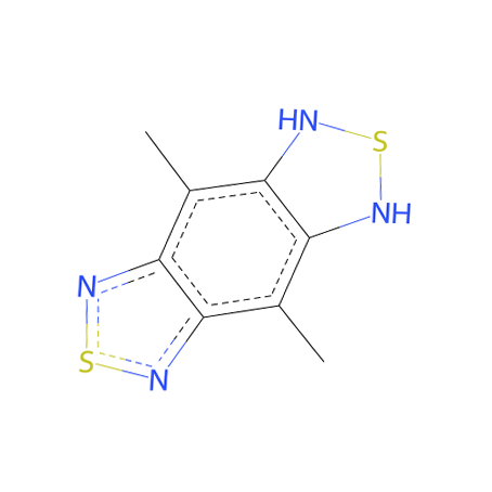 Cc1c2c(c(C)c3nsnc13)NSN2